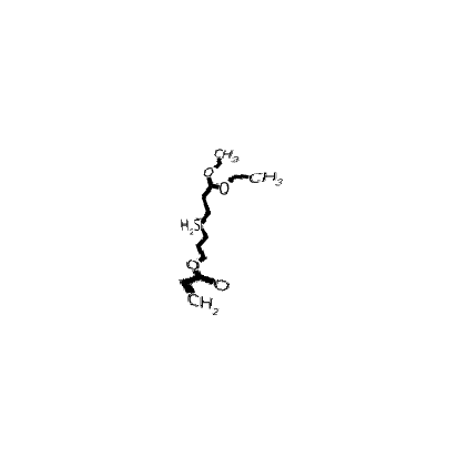 C=CC(=O)OCCC[SiH2]CCC(OCC)OCC